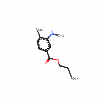 CCCCCCCCCCCCOC(=O)c1ccc(OC)c(N[C]=O)c1